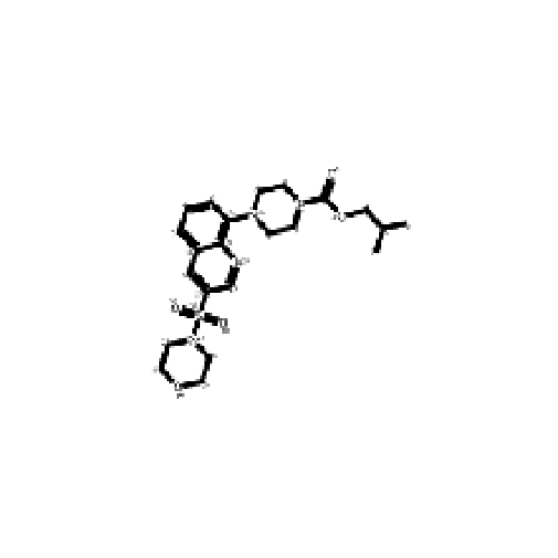 CC(C)COC(=O)N1CCN(c2cccc3cc(S(=O)(=O)N4CCOCC4)cnc23)CC1